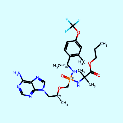 CCCOC(=O)C(C)(C)N[P@@](=O)(CO[C@H](C)Cn1cnc2c(N)ncnc21)N[C@H](C)c1ccc(OC(F)(F)F)cc1C